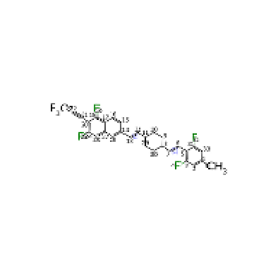 Cc1cc(F)c(/C=C/C2CCC(/C=C/c3ccc4c(F)c(C#CC(F)(F)F)c(F)cc4c3)CC2)c(F)c1